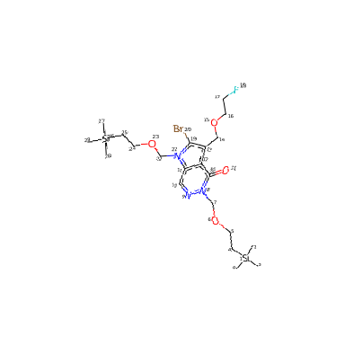 C[Si](C)(C)CCOCn1ncc2c(c(COCCF)c(Br)n2COCC[Si](C)(C)C)c1=O